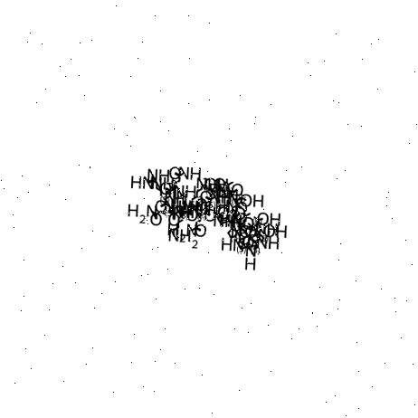 CC(C)C[C@H](NC(=O)[C@@H](NC(=O)[C@@H](NC(=O)[C@@H](NC(=O)[C@H](CCC(N)=O)NC(=O)[C@H](CCC(N)=O)NC(=O)[C@H](CCCCN)NC(=O)[C@H](CCCCN)NC(=O)[C@H](CCC(N)=O)NC(=O)[C@H](CCCNC(=N)N)NC(=O)[C@@H](N)CCC(N)=O)[C@@H](C)O)C(C)C)[C@@H](C)O)C(=O)N[C@@H](CC(C)C)C(=O)N1CCC[C@H]1C(=O)N[C@@H](C)C(=O)N[C@@H](C)C(=O)N[C@@H](CO)C(=O)N[C@H](C(=O)O)[C@@H](C)O